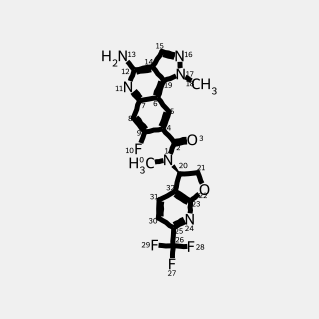 CN(C(=O)c1cc2c(cc1F)nc(N)c1cnn(C)c12)[C@H]1COc2nc(C(F)(F)F)ccc21